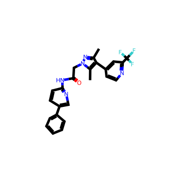 Cc1nn(CC(=O)Nc2ccc(-c3ccccc3)cn2)c(C)c1-c1ccnc(C(F)(F)F)c1